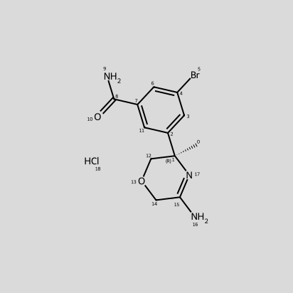 C[C@@]1(c2cc(Br)cc(C(N)=O)c2)COCC(N)=N1.Cl